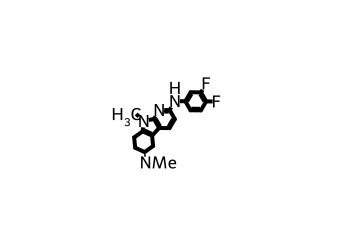 CN[C@@H]1CCc2c(c3ccc(Nc4ccc(F)c(F)c4)nc3n2C)C1